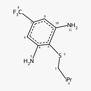 CC(C)CSc1c(N)cc(C(F)(F)F)cc1N